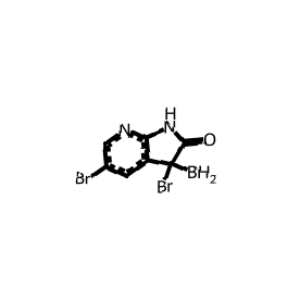 BC1(Br)C(=O)Nc2ncc(Br)cc21